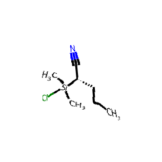 CCC[C@@H](C#N)[Si](C)(C)Cl